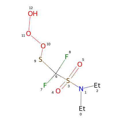 CCN(CC)S(=O)(=O)C(F)(F)SOOO